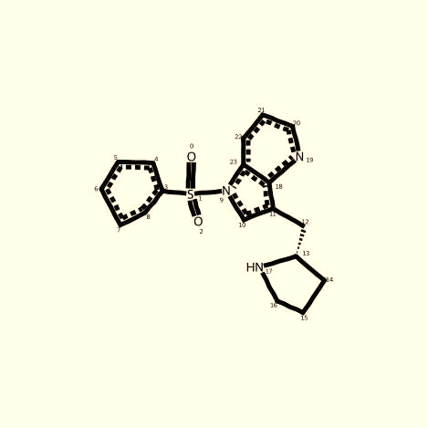 O=S(=O)(c1ccccc1)n1cc(C[C@@H]2CCCN2)c2ncccc21